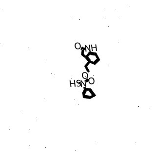 O=C1Cc2c(CCOC(=O)N(S)c3ccccc3)cccc2N1